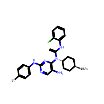 C=C(Nc1ccccc1F)N(c1nc(Nc2ccc(CC)cc2)ncc1N)[C@H]1CC[C@H](NC(C)=O)CC1